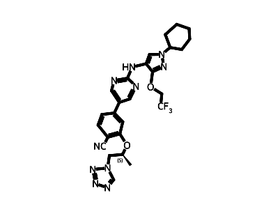 C[C@@H](Cn1cnnn1)Oc1cc(-c2cnc(Nc3cn(C4CCCCC4)nc3OCC(F)(F)F)nc2)ccc1C#N